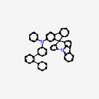 c1ccc(-c2ccccc2-c2cccc(N(c3ccccc3)c3ccc4c(c3)C3(c5ccccc5-4)c4ccccc4-n4c5ccccc5c5cccc3c54)c2)cc1